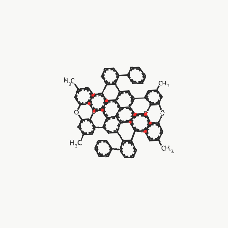 Cc1ccc2c(c1)Oc1cc(C)cc3c1B2c1cc2c(-c4c(-c5ccccc5)cccc4-c4ccccc4)cc4c5c(cc6c(-c7c(-c8ccccc8)cccc7-c7ccccc7)cc-3c1c6c25)B1c2ccc(C)cc2Oc2cc(C)cc-4c21